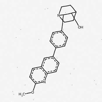 COc1ccc2cc(-c3ccc(C4C(O)C5CCN4CC5)cc3)ccc2n1